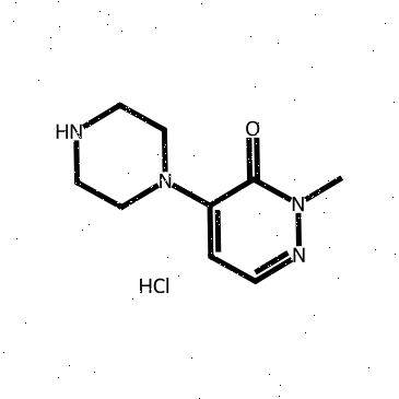 Cl.Cn1nccc(N2CCNCC2)c1=O